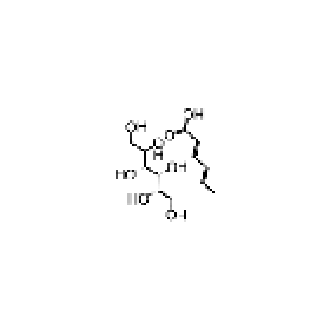 C/C=C/C=C/C(=O)O.OC[C@@H](O)[C@@H](O)[C@H](O)[C@@H](O)CO